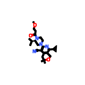 COCCC(=O)N1CCN(c2nc(C3CC3)c3c(c2C#N)CC(C)(C)OC3)C[C@H]1C(C)C